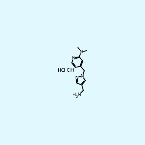 CN(C)c1cc(Cn2cc(CN)cn2)ccn1.Cl.Cl